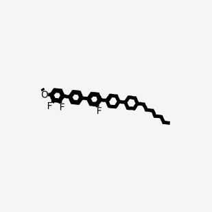 CCCCCCCC1CCC(C2CC=C(c3ccc(-c4ccc(-c5ccc(OC)c(F)c5F)cc4)cc3F)CC2)CC1